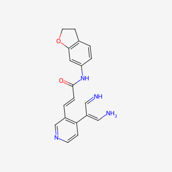 N=C/C(=C\N)c1ccncc1/C=C/C(=O)Nc1ccc2c(c1)OCC2